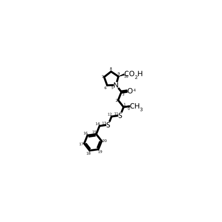 CC(CC(=O)N1CCC[C@H]1C(=O)O)SCSCc1ccccc1